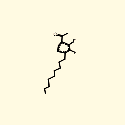 CCCCCCCCCc1ccc(C(C)=O)c(F)c1F